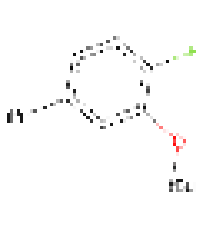 CC(C)c1ccc(F)c(OC(C)(C)C)c1